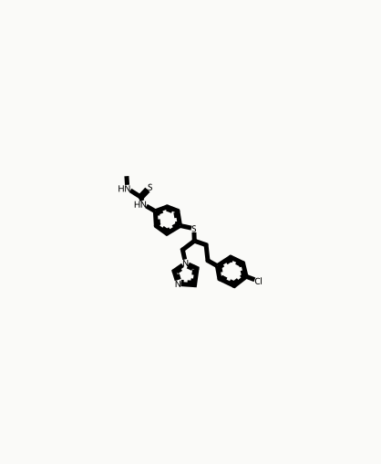 CNC(=S)Nc1ccc(SC(CCc2ccc(Cl)cc2)Cn2ccnc2)cc1